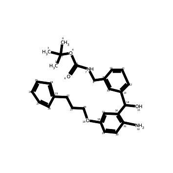 CC(C)(C)OC(=O)NCc1cccc(C(O)c2cc(OCCCc3ccccc3)ccc2N)c1